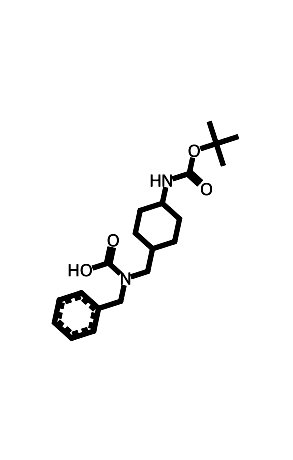 CC(C)(C)OC(=O)NC1CCC(CN(Cc2ccccc2)C(=O)O)CC1